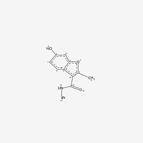 Cc1oc2cc(O)ccc2c1C(=O)NC(C)C